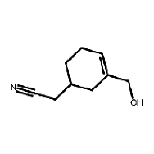 N#CCC1CCC=C(CO)C1